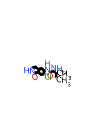 CC[C@@H](C)[C@H](N)C(=O)Nc1cc2cc[nH]c(=O)c2cc1Cl